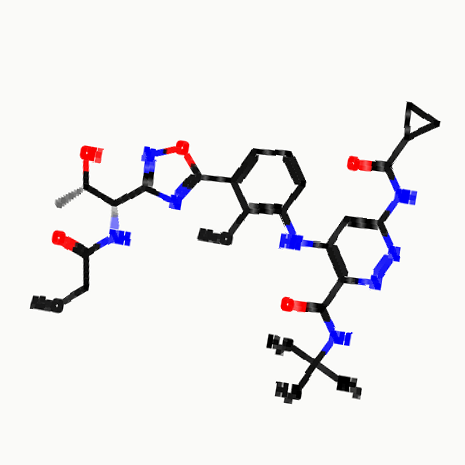 BC(B)(B)NC(=O)c1nnc(NC(=O)C2CC2)cc1Nc1cccc(-c2nc([C@H](NC(=O)COC)[C@H](C)O)no2)c1OC